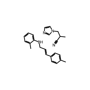 CC(C#N)Cn1ccnc1.Cc1ccc(C=CCBc2ccccc2C)cc1